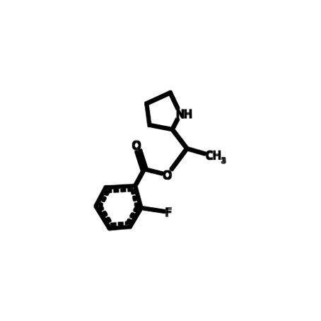 CC(OC(=O)c1ccccc1F)C1CCCN1